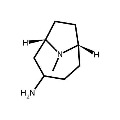 CN1[C@H]2CCC(N)C[C@@H]1CC2